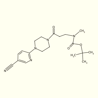 CN(CCC(=O)N1CCN(c2ccc(C#N)cn2)CC1)C(=O)OC(C)(C)C